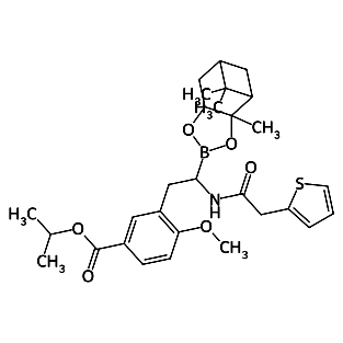 COc1ccc(C(=O)OC(C)C)cc1CC(NC(=O)Cc1cccs1)B1OC2CC3CC(C3(C)C)C2(C)O1